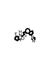 O=C(Nc1c(F)cccc1F)c1cc2c(s1)-c1cc(-n3ccnc3)ccc1CCC2